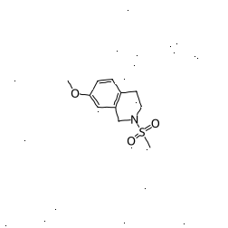 COc1ccc2c(c1)CN(S(C)(=O)=O)CC2